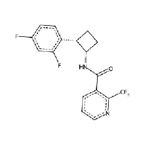 O=C(N[C@H]1CC[C@H]1c1ccc(F)cc1F)c1cccnc1C(F)(F)F